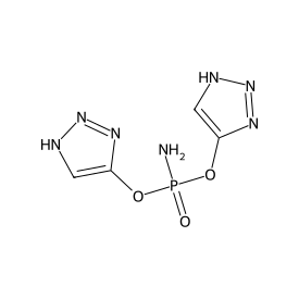 NP(=O)(Oc1c[nH]nn1)Oc1c[nH]nn1